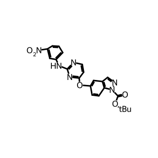 CC(C)(C)OC(=O)n1ncc2cc(Oc3ccnc(Nc4cccc([N+](=O)[O-])c4)n3)ccc21